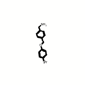 CC(C)c1ccc(OCc2ccc(CN)cc2)cc1